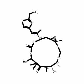 C/C(=C\c1csc(CN)n1)[C@@H]1CC2O[C@]2(C)CCC[C@H](C)[C@H](O)[C@@H](C)C(=O)C(C)(C)C(O)CC(=O)O1